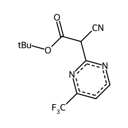 CC(C)(C)OC(=O)C(C#N)c1nccc(C(F)(F)F)n1